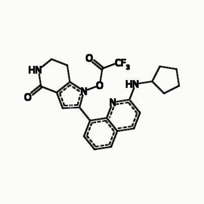 O=C1NCCc2c1cc(-c1cccc3ccc(NC4CCCC4)nc13)n2OC(=O)C(F)(F)F